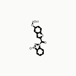 CCCCCCCCOc1ccc2sc(C(=O)n3n[n+]([O-])c4ccccc43)cc2c1